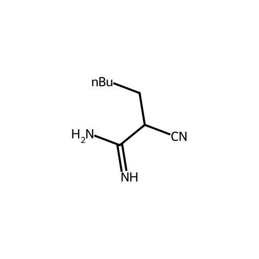 CCCCCC(C#N)C(=N)N